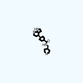 O=C(NCc1ccncc1)c1ccc(-c2ccnc3[nH]ccc23)cc1